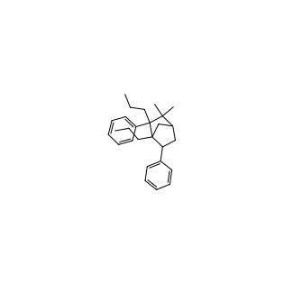 CCCC12CC(CC1c1ccccc1)C(C)(C)C2(CCC)c1ccccc1